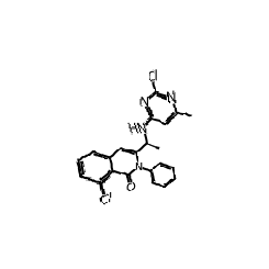 Cc1cc(N[C@@H](C)c2cc3cccc(Cl)c3c(=O)n2-c2ccccc2)nc(Cl)n1